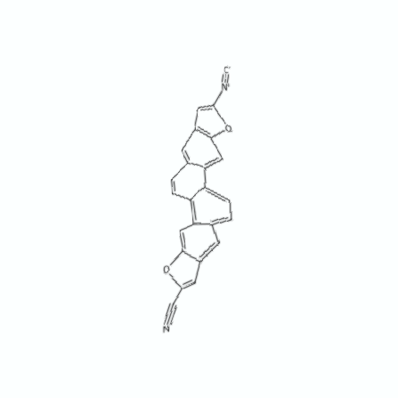 [C-]#[N+]c1cc2cc3ccc4c5cc6oc(C#N)cc6cc5ccc4c3cc2o1